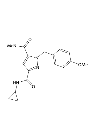 CNC(=O)c1cc(C(=O)NC2CC2)nn1Cc1ccc(OC)cc1